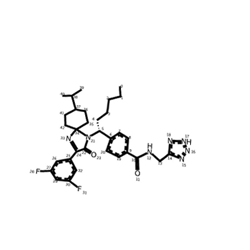 CCCCC[C@H](c1ccc(C(=O)NCc2nn[nH]n2)cc1)N1C(=O)C(c2cc(F)cc(F)c2)=NC12CCC(C(C)C)CC2